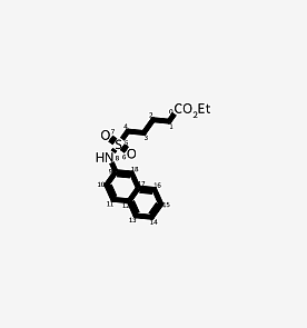 CCOC(=O)CCCCS(=O)(=O)Nc1ccc2ccccc2c1